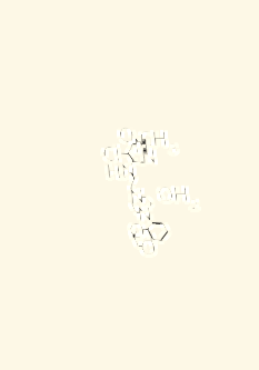 Cn1ncc(NCCN2CCN(c3cccc4c3OCCO4)CC2)c(Cl)c1=O.O